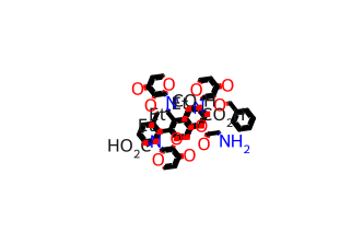 CCC(c1ccc(OC(=O)CN)c(C(CC)N(C(=O)O)c2occc(=O)c2OCc2ccccc2)c1C(CC)N(C(=O)O)c1occc(=O)c1OCc1ccccc1)N(C(=O)O)c1occc(=O)c1OCc1ccccc1